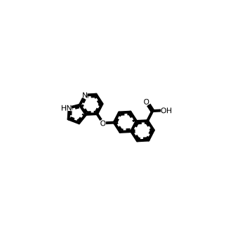 O=C(O)c1cccc2cc(Oc3ccnc4[nH]ccc34)ccc12